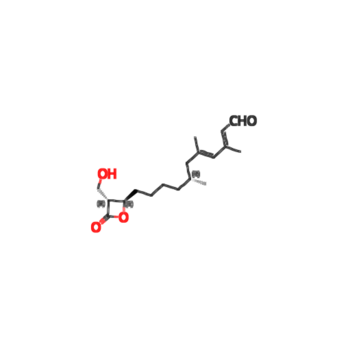 CC(=CC=O)C=C(C)C[C@H](C)CCCC[C@H]1OC(=O)[C@@H]1CO